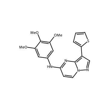 COc1cc(Nc2ccn3ncc(-c4cccs4)c3n2)cc(OC)c1OC